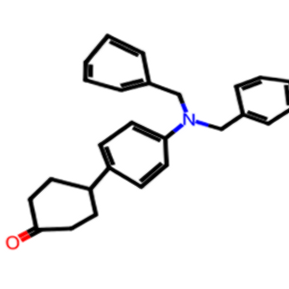 O=C1CCC(c2ccc(N(Cc3ccccc3)Cc3ccccc3)cc2)CC1